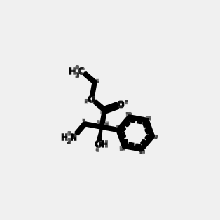 CCOC(=O)[C@@](O)(CN)c1ccccc1